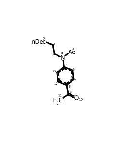 CCCCCCCCCCCCN(C(C)=O)c1ccc(C(=O)C(F)(F)F)cc1